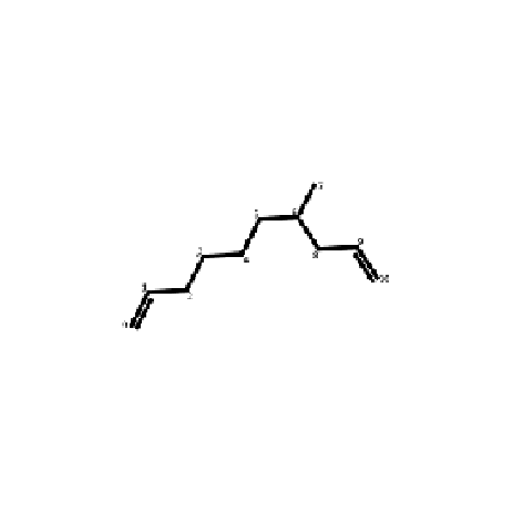 C=CC[CH]CCC(C)CC=C